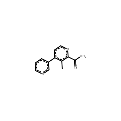 Cc1c(-c2cccnc2)ccnc1C(N)=O